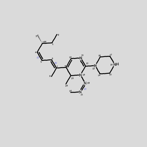 CC[C@@H](C)/C=C\C=C(/C)C1=CN=C(N2CCNCC2)N(/N=N\C)C1C